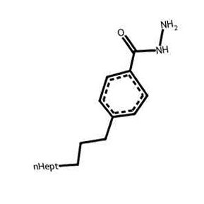 CCCCCCCCCCc1ccc(C(=O)NN)cc1